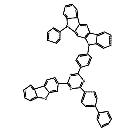 c1ccc(-c2ccc(-c3nc(-c4ccc(-n5c6ccccc6c6cc7c8ccccc8n(-c8ccccc8)c7cc65)cc4)nc(-c4ccc5c(c4)oc4ccccc45)n3)cc2)cc1